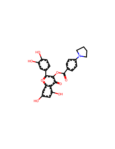 O=C(Oc1c(-c2ccc(O)c(O)c2)oc2cc(O)cc(O)c2c1=O)c1ccc(N2CCCC2)cc1